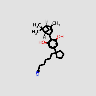 CC1=CC(c2c(O)cc(C3(CCCCCC#N)CCCC3)cc2O)[C@@H]2C[C@H]1C2(C)C